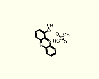 COc1cccc2nc3ccccc3nc12.O=S(=O)(O)O